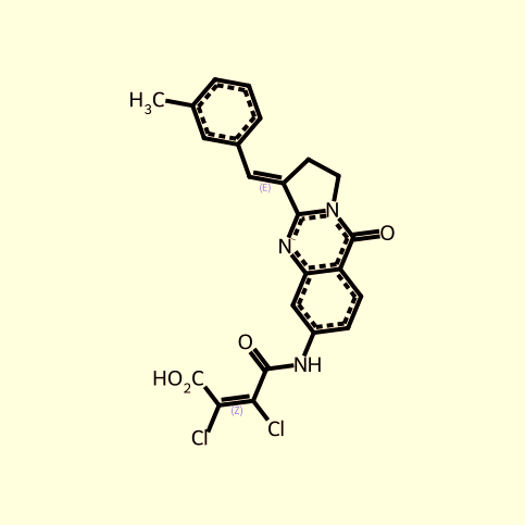 Cc1cccc(/C=C2\CCn3c2nc2cc(NC(=O)/C(Cl)=C(/Cl)C(=O)O)ccc2c3=O)c1